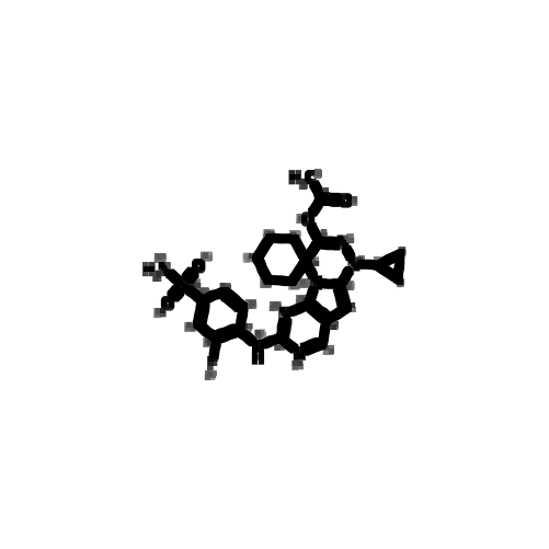 CC(=O)OC1=NN(C2CC2)c2cc3cnc(Nc4ccc(S(N)(=O)=O)cc4F)nc3n2C12CCCCC2